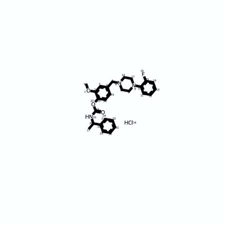 COc1cc(CN2CCN(c3ccccc3F)CC2)ccc1OC(=O)NC(C)c1ccccc1.Cl